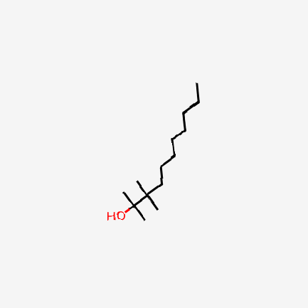 CCCCCCCCC(C)(C)C(C)(C)O